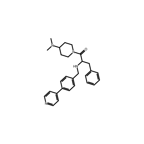 CN(C)C1CCN(C(=O)C(Cc2ccccc2)NCc2ccc(-c3ccncc3)cc2)CC1